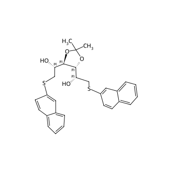 CC1(C)O[C@H]([C@@H](O)CSc2ccc3ccccc3c2)[C@@H]([C@@H](O)CSc2ccc3ccccc3c2)O1